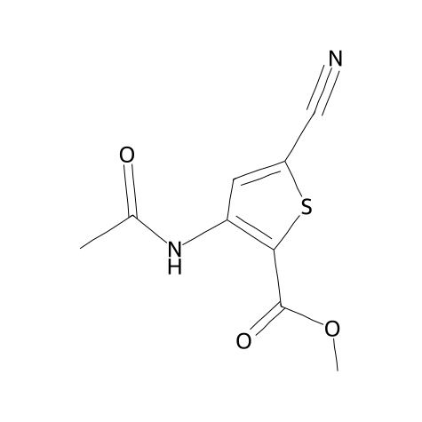 COC(=O)c1sc(C#N)cc1NC(C)=O